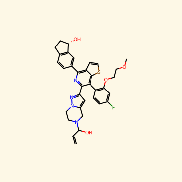 C=CC(O)N1CCn2nc(-c3nc(-c4ccc5c(c4)[C@@H](O)CC5)c4ccsc4c3-c3ccc(F)cc3OCCOC)cc2C1